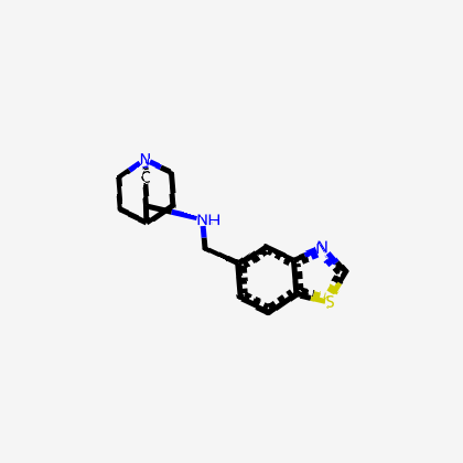 c1nc2cc(CNC3CN4CCC3CC4)ccc2s1